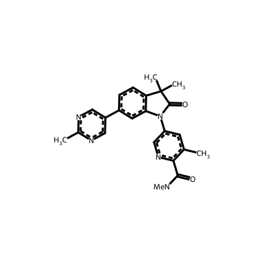 CNC(=O)c1ncc(N2C(=O)C(C)(C)c3ccc(-c4cnc(C)nc4)cc32)cc1C